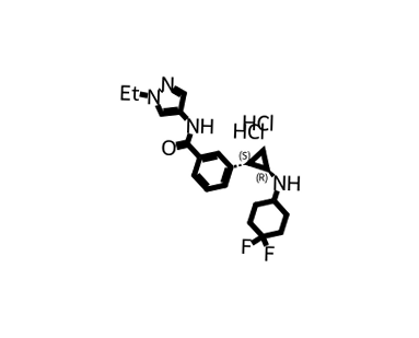 CCn1cc(NC(=O)c2cccc([C@@H]3C[C@H]3NC3CCC(F)(F)CC3)c2)cn1.Cl.Cl